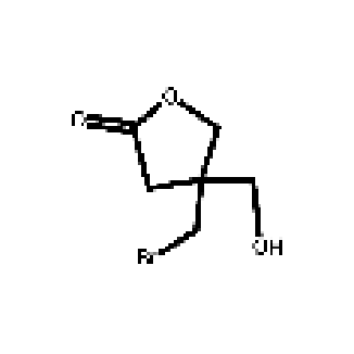 O=C1CC(CO)(CBr)CO1